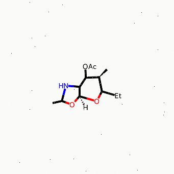 CCC1O[C@H]2OC(C)NC2C(OC(C)=O)[C@H]1C